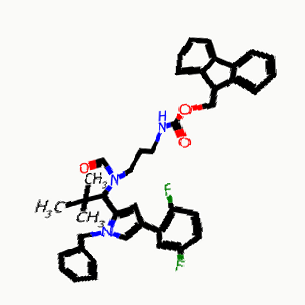 CC(C)(C)C(c1cc(-c2cc(F)ccc2F)cn1Cc1ccccc1)N(C=O)CCCNC(=O)OCC1c2ccccc2-c2ccccc21